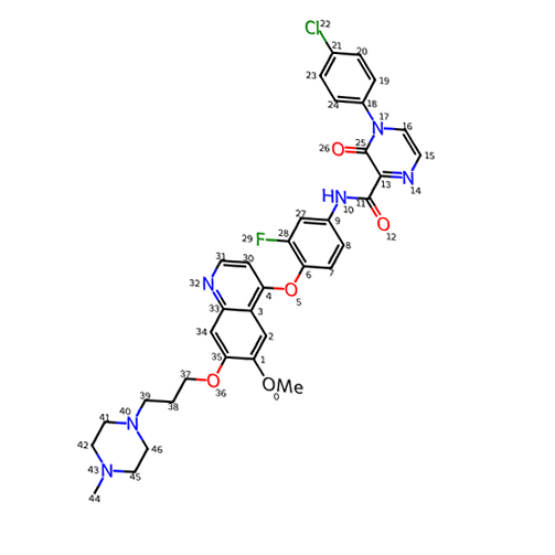 COc1cc2c(Oc3ccc(NC(=O)c4nccn(-c5ccc(Cl)cc5)c4=O)cc3F)ccnc2cc1OCCCN1CCN(C)CC1